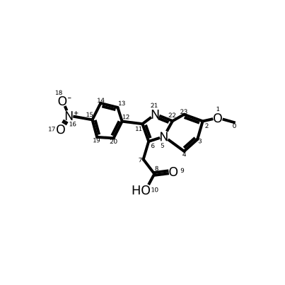 COc1ccn2c(CC(=O)O)c(-c3ccc([N+](=O)[O-])cc3)nc2c1